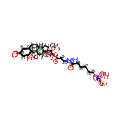 C[C@H]1C[C@H]2[C@@H]3CCC4=CC(=O)C=C[C@]4(C)[C@@]3(Cl)[C@@H](O)C[C@]2(C)[C@@]1(O)C(=O)COC(=O)CCNC(=O)CCCCCON(O)O